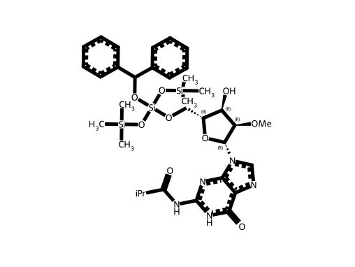 CO[C@@H]1[C@H](O)[C@@H](CO[Si](OC(c2ccccc2)c2ccccc2)(O[Si](C)(C)C)O[Si](C)(C)C)O[C@H]1n1cnc2c(=O)[nH]c(NC(=O)C(C)C)nc21